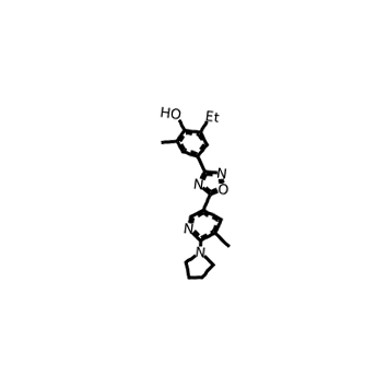 CCc1cc(-c2noc(-c3cnc(N4CCCC4)c(C)c3)n2)cc(C)c1O